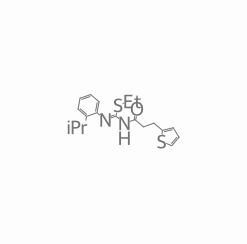 CCS/C(=N\c1ccccc1C(C)C)NC(=O)CCc1cccs1